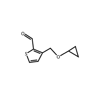 O=Cc1sccc1COC1CC1